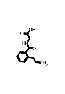 C=CCc1ccccc1C(=O)NCC(=O)O